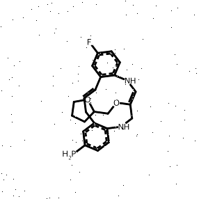 Fc1ccc2c(c1)/C=C/Cc1cc(P)ccc1NC/C(OCC1CCCO1)=C/N2